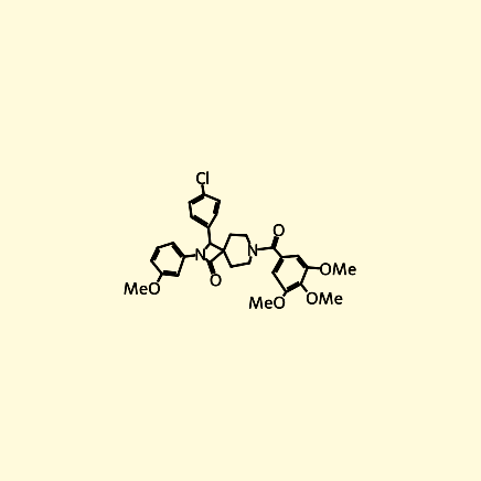 COc1cccc(N2C(=O)C3(CCN(C(=O)c4cc(OC)c(OC)c(OC)c4)CC3)C2c2ccc(Cl)cc2)c1